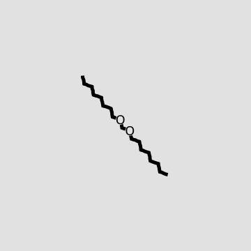 CCCCCCCCOCOCCCCCCCC